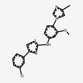 COc1cc(Nc2nc(-c3cccc(Cl)c3)cs2)ccc1-n1cnc(C)c1